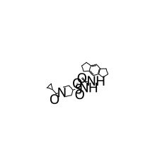 O=C(Nc1c2c(cc3c1CCC3)CCC2)NS(=O)(=O)C1CCN(C(=O)C2CC2)CC1